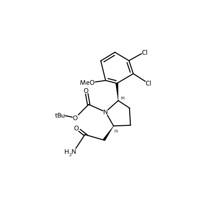 COc1ccc(Cl)c(Cl)c1[C@H]1CC[C@@H](CC(N)=O)N1C(=O)OC(C)(C)C